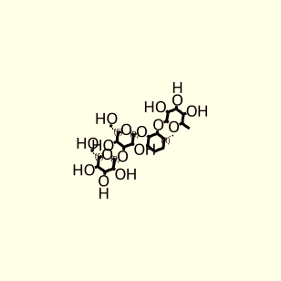 CC1OC(OC2C(O[C@@H]3O[C@@H](CO)C(O)C(O[C@H]4O[C@@H](CO)C(O)C(O)C4O)C3O)CCC[C@H]2C)C(O)C(O)C1O